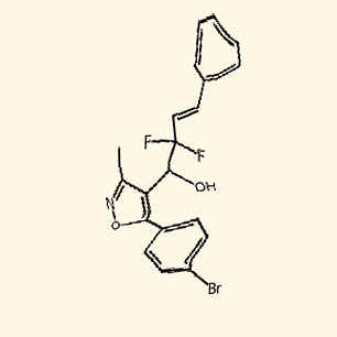 Cc1noc(-c2ccc(Br)cc2)c1C(O)C(F)(F)/C=C/c1ccccc1